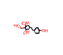 OCc1c(O)cc(/C=C/c2ccc(O)cc2)cc1O